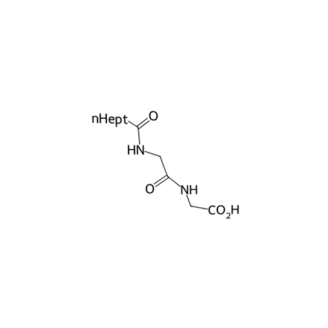 CCCCCCCC(=O)NCC(=O)NCC(=O)O